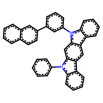 c1ccc(-n2c3ccccc3c3cc4c5ccccc5n(-c5cccc(-c6ccc7ccccc7c6)c5)c4cc32)cc1